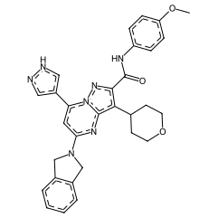 COc1ccc(NC(=O)c2nn3c(-c4cn[nH]c4)cc(N4Cc5ccccc5C4)nc3c2C2CCOCC2)cc1